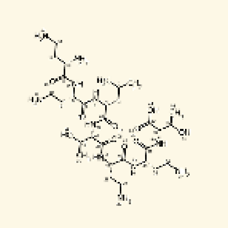 CC(C)C[C@@H](NC(=O)[C@H](CCN)NC(=O)[C@@H](N)CCN)C(=O)N[C@H](C(=O)N[C@@H](CCN)C(=O)N[C@@H](CCN)C(=O)N[C@H](C(=O)O)[C@@H](C)O)[C@@H](C)O